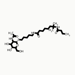 CCCC(=O)NC(C)(C)CCCCCC(=O)NCCCCCS[C@@H]1OC(CO)[C@H](O)C(O)C1NC(C)=O